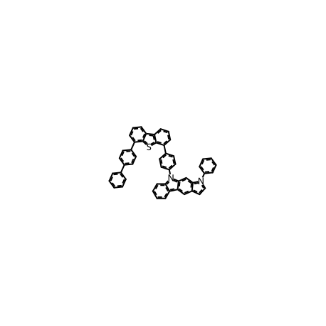 c1ccc(-c2ccc(-c3cccc4c3sc3c(-c5ccc(-n6c7ccccc7c7cc8ccn(-c9ccccc9)c8cc76)cc5)cccc34)cc2)cc1